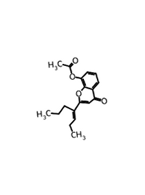 CCC=C(CCC)c1cc(=O)c2cccc(OC(C)=O)c2o1